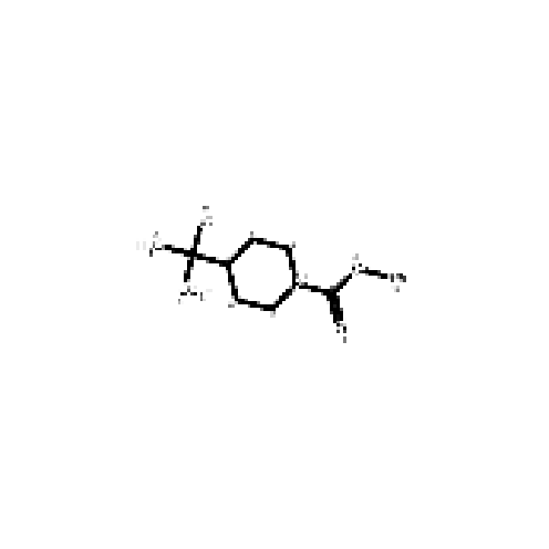 CCC(C)(C(=O)O)C1CCN(C(=O)OC(C)(C)C)CC1